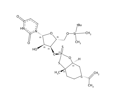 C=C(C)[C@@H]1CC[C@]2(C)S[P@@](=S)(O[C@H]3[C@@H](O)[C@H](n4ccc(=O)[nH]c4=O)O[C@@H]3CO[Si](C)(C)C(C)(C)C)O[C@H]2C1